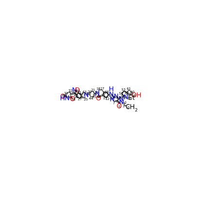 C=CCn1c(=O)c2cnc(Nc3ccc4c(c3)CCN(C3CCC(N5Cc6ccc7c(C8CCC(=O)NC8=O)noc7c6C5)CC3)C4=O)nc2n1-c1ccc2c(n1)[C@@](O)(CC)CC2